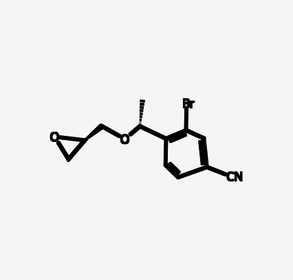 C[C@@H](OC[C@H]1CO1)c1ccc(C#N)cc1Br